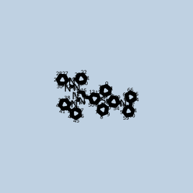 c1ccc([Si](c2ccccc2)(c2ccc(-c3cc(-n4c5ccccc5n5c6ccccc6nc45)nc(-n4c5ccccc5c5ccccc54)n3)cc2)c2ccc(-n3c4ccccc4c4ccccc43)cc2)cc1